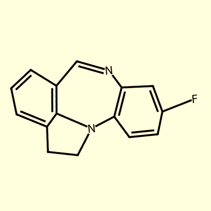 Fc1ccc2c(c1)N=Cc1cccc3c1N2CC3